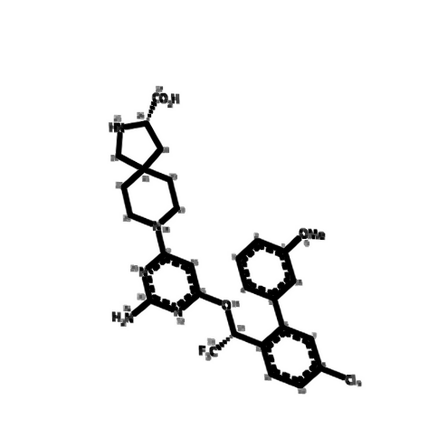 COc1cccc(-c2cc(Cl)ccc2[C@@H](Oc2cc(N3CCC4(CC3)CN[C@H](C(=O)O)C4)nc(N)n2)C(F)(F)F)c1